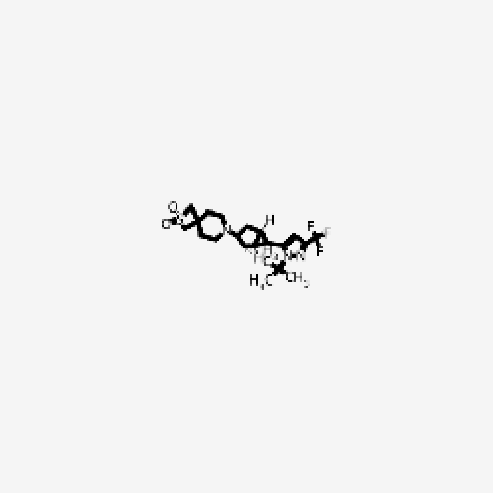 CC(C)(C)n1nc(C(F)(F)F)cc1C1[C@H]2CC(N3CCC4(CC3)CS(=O)(=O)C4)C[C@@H]12